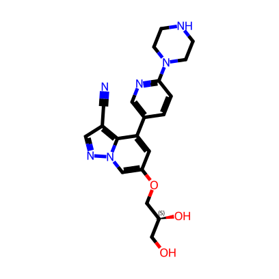 N#Cc1cnn2cc(OC[C@@H](O)CO)cc(-c3ccc(N4CCNCC4)nc3)c12